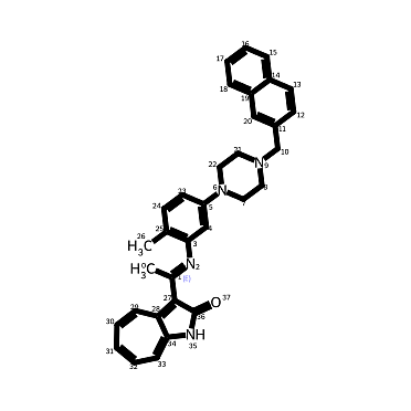 C/C(=N\c1cc(N2CCN(Cc3ccc4ccccc4c3)CC2)ccc1C)c1c2cccccc-2[nH]c1=O